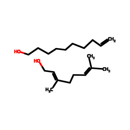 C=CCCCCCCCCO.CC(C)=CCCC(C)=CCO